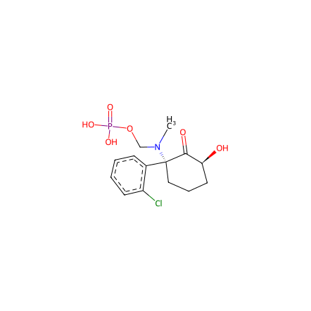 CN(COP(=O)(O)O)[C@@]1(c2ccccc2Cl)CCC[C@H](O)C1=O